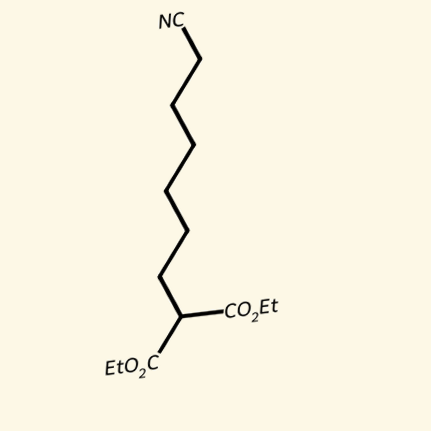 CCOC(=O)C(CCCCCCC#N)C(=O)OCC